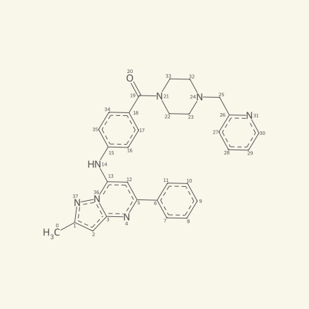 Cc1cc2nc(-c3ccccc3)cc(Nc3ccc(C(=O)N4CCN(Cc5ccccn5)CC4)cc3)n2n1